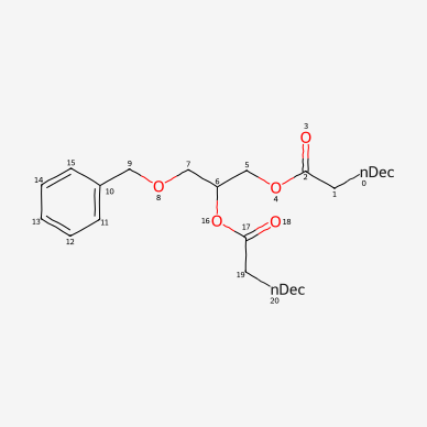 CCCCCCCCCCCC(=O)OCC(COCc1ccccc1)OC(=O)CCCCCCCCCCC